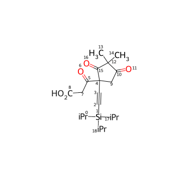 CC(C)[Si](C#CC1(C(=O)CC(=O)O)CC(=O)C(C)(C)C1=O)(C(C)C)C(C)C